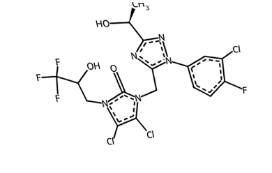 C[C@H](O)c1nc(Cn2c(Cl)c(Cl)n(CC(O)C(F)(F)F)c2=O)n(-c2ccc(F)c(Cl)c2)n1